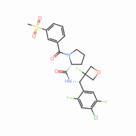 CS(=O)(=O)c1cccc(C(=O)N2CCC[C@@H]2C(=O)N[C@@H](c2cc(F)c(Cl)cc2F)C2(F)COC2)c1